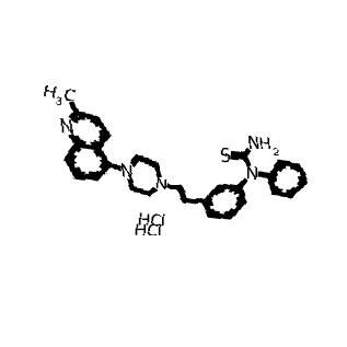 Cc1ccc2c(N3CCN(CCc4cccc(N(C(N)=S)c5ccccc5)c4)CC3)cccc2n1.Cl.Cl